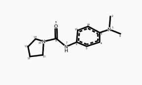 CN(C)c1ccc(NC(=O)N2CCCC2)cc1